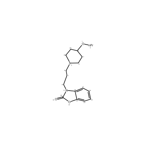 CCCOC1CCN(CCCn2c(=O)oc3ccccc32)CC1